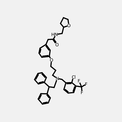 O=C(Cc1cccc(OCCCN(Cc2cccc(C(F)(F)F)c2Cl)CC(c2ccccc2)c2ccccc2)c1)NCC1CCCO1